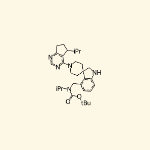 CC(C)C1CCc2ncnc(N3CCC4(CC3)CNc3cccc(CN(C(=O)OC(C)(C)C)C(C)C)c34)c21